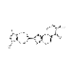 Cc1cc(Cl)c2n1CC=C(c1cc3c(s1)CCN(C(=O)OC(C)(C)C)C3CC(C)C)C=C2